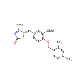 CNC1=NC(=O)S/C1=C\c1ccc(OCc2ccc(C(F)(F)F)cc2C(F)(F)F)c(OC)c1